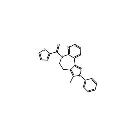 Cc1c2c(nn1-c1ccccc1)-c1cccnc1N(C(=O)c1cccs1)CC2